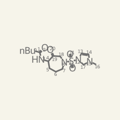 CCCCC(=O)NC1CCCN(S(=O)(=O)N2C=CN(C)C2)CC1=O